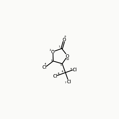 O=C1OC(Cl)C(C(Cl)(Cl)Cl)O1